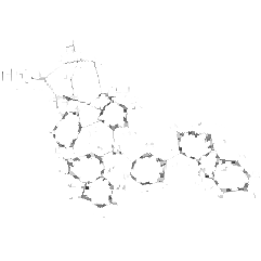 C[C@H]1C[C@@H]2C[C@H](C1)C1(c3ccccc3-c3c(N(c4cccc(-c5cccc6c5sc5ccccc56)c4)c4cccc5ccccc45)cccc31)[C@H](C)C2